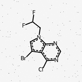 FC(F)Cn1cc(Br)c2c(Cl)ncnc21